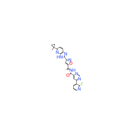 C[C@@H](NC(=O)c1cc(-c2cccnc2F)ncn1)c1cc(-c2nc3ccc(C4(C)CC4)nc3[nH]2)no1